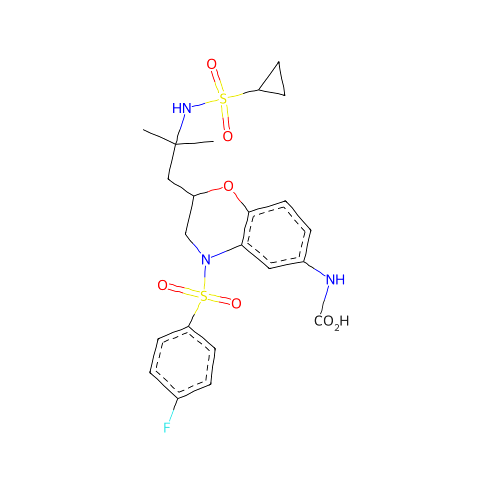 CC(C)(CC1CN(S(=O)(=O)c2ccc(F)cc2)c2cc(NC(=O)O)ccc2O1)NS(=O)(=O)C1CC1